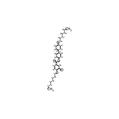 CCCCCCCCOc1ccc(C(=O)Oc2ccc(-c3ccc(OCCCCCCC)cc3)cc2)cc1Cl